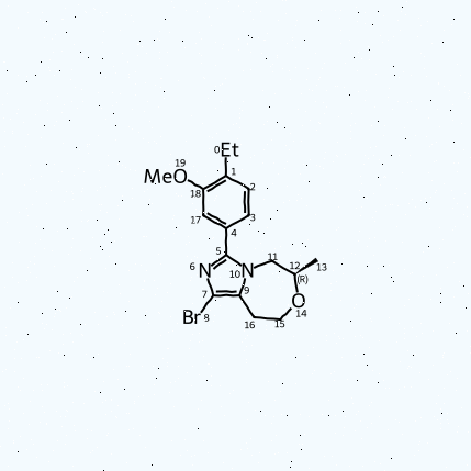 CCc1ccc(-c2nc(Br)c3n2C[C@@H](C)OCC3)cc1OC